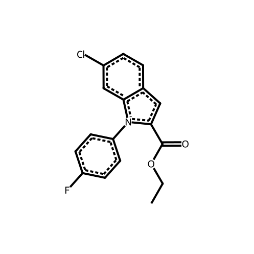 CCOC(=O)c1cc2ccc(Cl)cc2n1-c1ccc(F)cc1